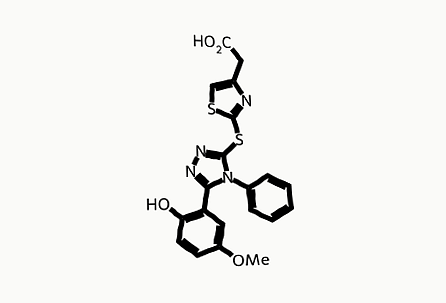 COc1ccc(O)c(-c2nnc(Sc3nc(CC(=O)O)cs3)n2-c2ccccc2)c1